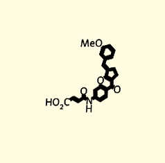 COc1cccc(C=C2CCc3c2oc2cc(NC(=O)C=CC(=O)O)ccc2c3=O)c1